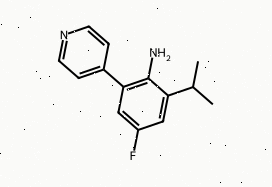 CC(C)c1cc(F)cc(-c2ccncc2)c1N